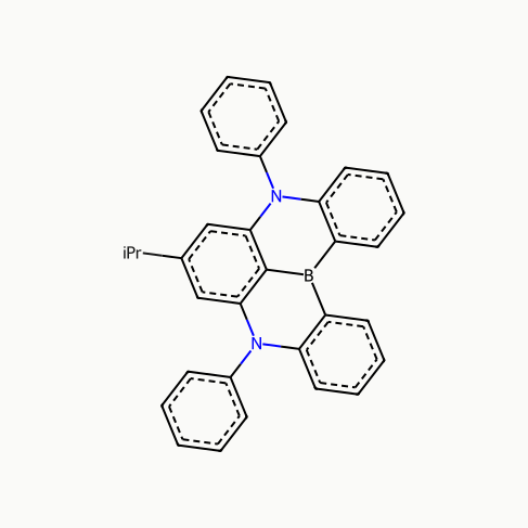 CC(C)c1cc2c3c(c1)N(c1ccccc1)c1ccccc1B3c1ccccc1N2c1ccccc1